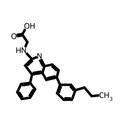 CCCc1cccc(-c2ccc3nc(NCC(=O)O)cc(-c4ccccc4)c3c2)c1